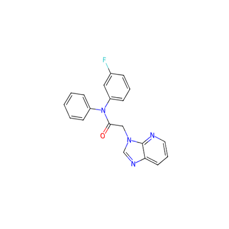 O=C(Cn1cnc2cccnc21)N(c1ccccc1)c1cccc(F)c1